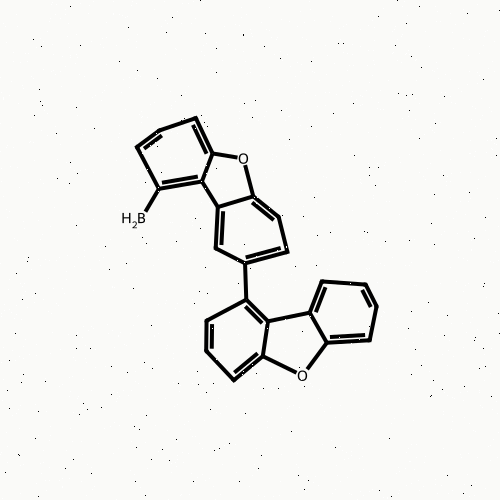 Bc1cccc2oc3ccc(-c4cccc5oc6ccccc6c45)cc3c12